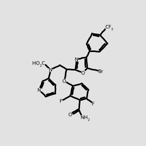 NC(=O)c1c(F)ccc(OC(CN(C(=O)O)c2cccnc2)c2nc(-c3ccc(C(F)(F)F)cc3)c(Br)o2)c1F